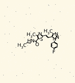 CCCNC(=O)c1sc(C=Cc2c(C)nnn2-c2ccc(F)cc2)nc1C